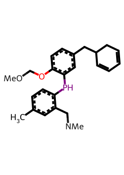 CNCc1cc(C)ccc1Pc1cc(CC2C=CC=CC2)ccc1OCOC